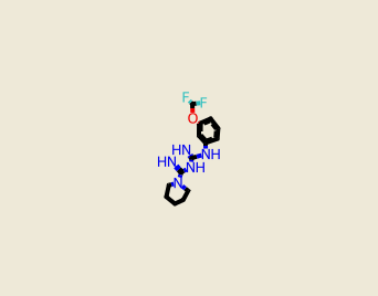 N=C(NC(=N)N1CCCCC1)Nc1cccc(OC(F)F)c1